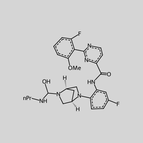 CCCNC(O)N1C[C@H]2C[C@@H]1CN2c1ccc(F)cc1NC(=O)c1ccnc(-c2c(F)cccc2OC)n1